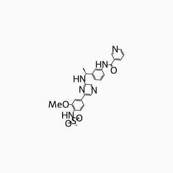 COc1cc(-c2cncc(N[C@@H](C)c3cccc(NC(=O)c4cccnc4)c3)n2)ccc1NS(C)(=O)=O